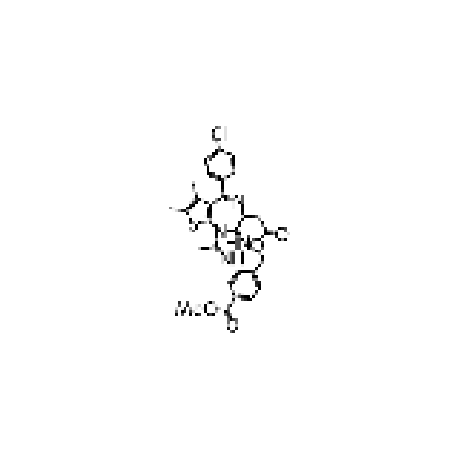 COC(=O)c1ccc(COC(=O)CC2N=C(c3ccc(Cl)cc3)c3c(sc(C)c3C)N(C(C)=N)C2=N)cc1